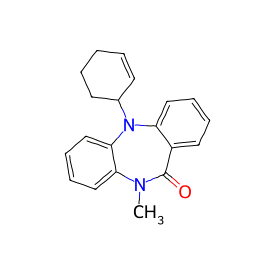 CN1C(=O)c2ccccc2N(C2C=CCCC2)c2ccccc21